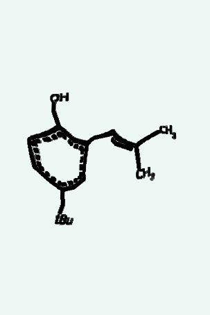 CC(C)=Cc1cc(C(C)(C)C)ccc1O